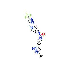 Cn1nc(C(F)(F)F)cc1CN1CCC2(CC1)CN(C(=O)N1CC3(CC(c4cc(C5CC5)n[nH]4)C3)C1)C2